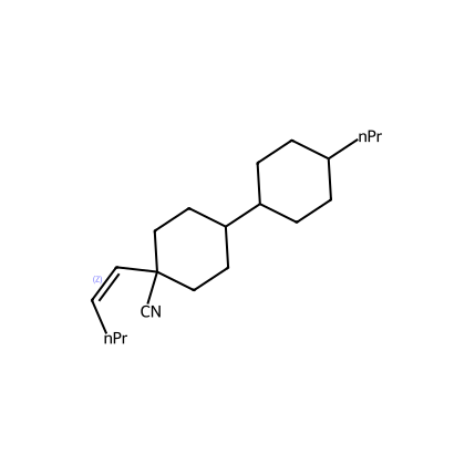 CCC/C=C\C1(C#N)CCC(C2CCC(CCC)CC2)CC1